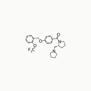 O=C(c1ccc(OCc2ccccc2OC(F)(F)F)cc1)N1CCC[C@H]1CN1CCCC1